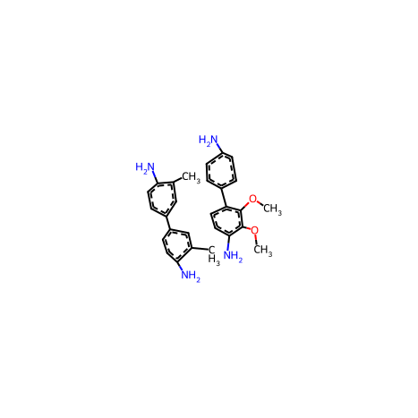 COc1c(N)ccc(-c2ccc(N)cc2)c1OC.Cc1cc(-c2ccc(N)c(C)c2)ccc1N